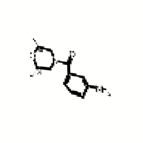 C[C@@H]1CN(C(=O)c2cccc(N)c2)C[C@H](C)O1